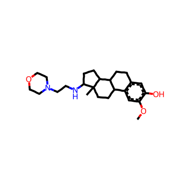 COc1cc2c(cc1O)CCC1C2CCC2(C)C(NCCN3CCOCC3)CCC12